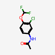 CC(=O)Nc1ccc(OC(F)F)c(Cl)c1